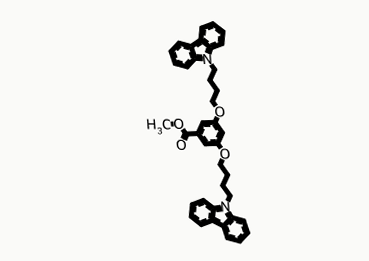 COC(=O)c1cc(OCCCCn2c3ccccc3c3ccccc32)cc(OCCCCn2c3ccccc3c3ccccc32)c1